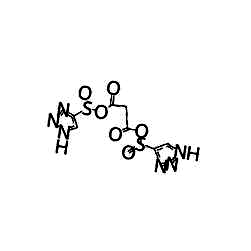 O=C(CC(=O)OS(=O)c1c[nH]nn1)OS(=O)c1c[nH]nn1